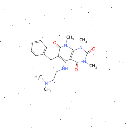 CN(C)CCNc1c(Cc2ccccc2)c(=O)n(C)c2c1c(=O)n(C)c(=O)n2C